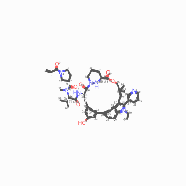 C=CC(=O)N1CC[C@H](C(=O)N(C)[C@H](C(=O)N[C@H]2Cc3cc(O)cc(c3)-c3ccc4c(c3)c(c(-c3cccnc3)n4CC)CC(C)(C)COC(=O)[C@@H]3CCCN(N3)C2=O)C(C)C)C1